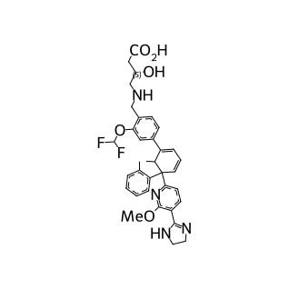 COc1nc(C2(c3ccccc3C)C=CC=C(c3ccc(CNC[C@@H](O)CC(=O)O)c(OC(F)F)c3)C2C)ccc1C1=NCCN1